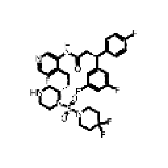 O=C(C[C@@H](c1ccc(F)cc1)c1cc(F)cc(F)c1)Nc1cncc(F)c1CC[C@H]1CNCCN1S(=O)(=O)N1CCC(F)(F)CC1